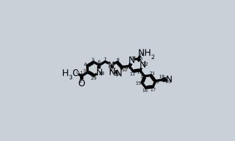 CC(=O)c1ccc(Cn2cc(-c3cc(-c4cccc(C#N)c4)nc(N)n3)nn2)nc1